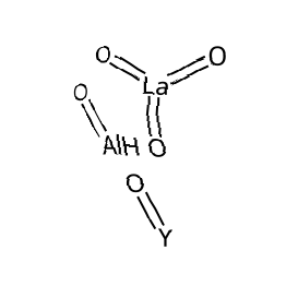 [O]=[AlH].[O]=[La](=[O])=[O].[O]=[Y]